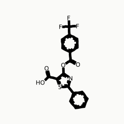 O=C(Oc1nc(-c2ccccc2)sc1C(=O)O)c1ccc(C(F)(F)F)cc1